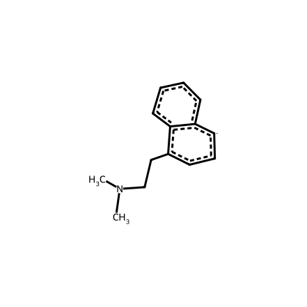 CN(C)CCc1cc[c]c2ccccc12